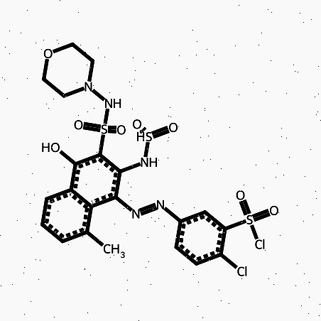 Cc1cccc2c(O)c(S(=O)(=O)NN3CCOCC3)c(N[SH](=O)=O)c(N=Nc3ccc(Cl)c(S(=O)(=O)Cl)c3)c12